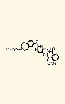 COCCCN(Nc1nc(Nc2ccc3c(c2)CCN(CCOC)CC3)ncc1Cl)C(=O)c1ccccc1